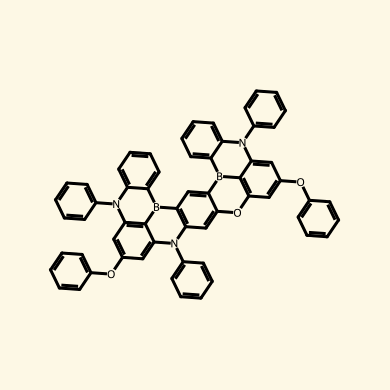 c1ccc(Oc2cc3c4c(c2)N(c2ccccc2)c2ccccc2B4c2cc4c(cc2O3)N(c2ccccc2)c2cc(Oc3ccccc3)cc3c2B4c2ccccc2N3c2ccccc2)cc1